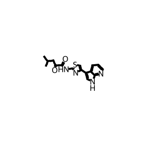 CC(C)CC(=O)C(=O)Nc1nc(-c2c[nH]c3ncccc23)cs1